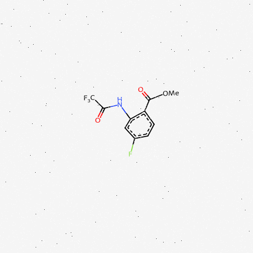 COC(=O)c1ccc(F)cc1NC(=O)C(F)(F)F